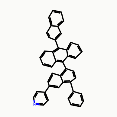 c1ccc(-c2ccc(-c3c4ccccc4c(-c4ccc5ccccc5c4)c4ccccc34)c3ccc(-c4ccncc4)cc23)cc1